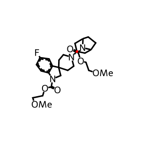 COCCOC(=O)N1CC2(CCN(C3CC4CCC(C3)N4C(=O)OCCOC)CC2)c2cc(F)ccc21